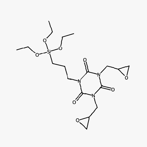 CCO[Si](CCCn1c(=O)n(CC2CO2)c(=O)n(CC2CO2)c1=O)(OCC)OCC